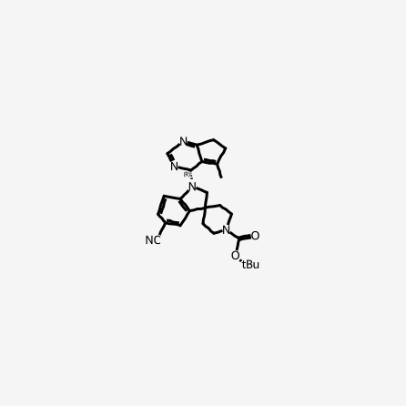 CC1=C2C(=NC=N[C@H]2N2CC3(CCN(C(=O)OC(C)(C)C)CC3)c3cc(C#N)ccc32)CC1